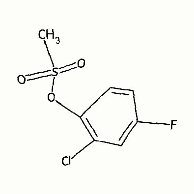 CS(=O)(=O)Oc1ccc(F)cc1Cl